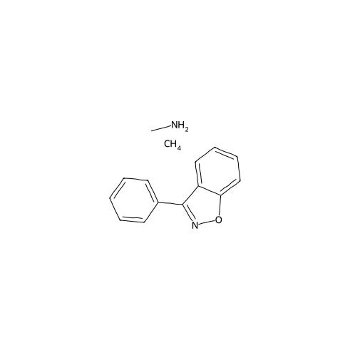 C.CN.c1ccc(-c2noc3ccccc23)cc1